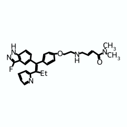 CCC(=C(c1ccc(OCCNCC=CC(=O)N(C)C)cc1)c1ccc2[nH]nc(F)c2c1)c1ccccn1